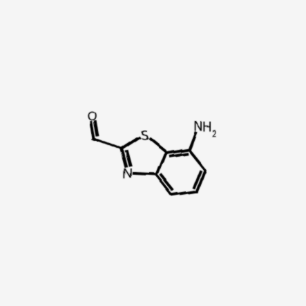 Nc1cccc2nc(C=O)sc12